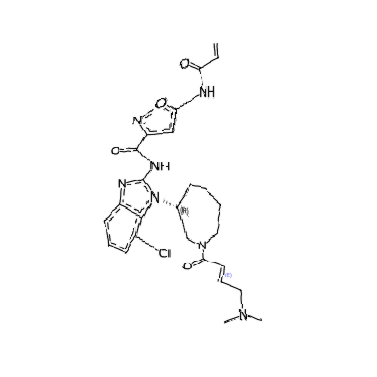 C=CC(=O)Nc1cc(C(=O)Nc2nc3cccc(Cl)c3n2[C@@H]2CCCCN(C(=O)/C=C/CN(C)C)C2)no1